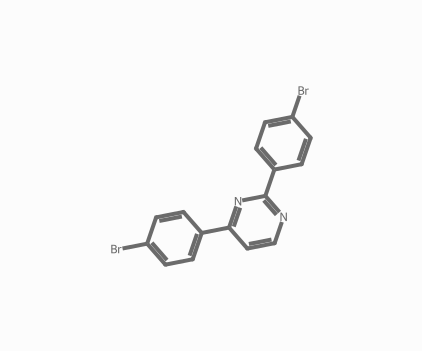 Brc1ccc(-c2ccnc(-c3ccc(Br)cc3)n2)cc1